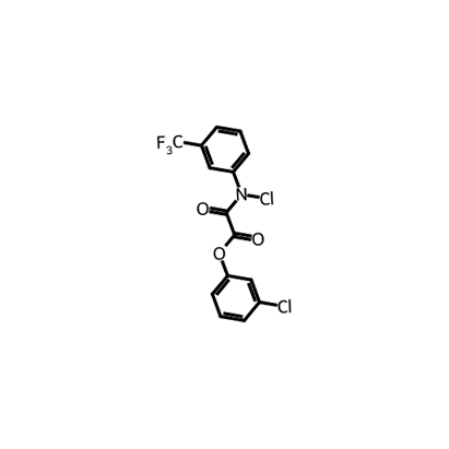 O=C(Oc1cccc(Cl)c1)C(=O)N(Cl)c1cccc(C(F)(F)F)c1